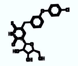 O=c1[nH]c(=S)c(Cc2cccc(Oc3ccc(Cl)cc3)c2)cn1[C@H]1O[C@@H](CO)C(O)C1O